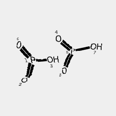 O=P(=O)O.O=P(=O)O